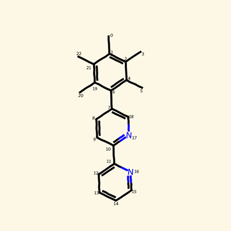 Cc1c(C)c(C)c(-c2ccc(-c3ccccn3)nc2)c(C)c1C